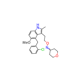 COc1ccc2[nH]c(C)c(CCON=C3CCOCC3)c2c1Cc1ccccc1Cl